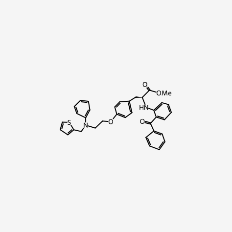 COC(=O)[C@H](Cc1ccc(OCCN(Cc2cccs2)c2ccccc2)cc1)Nc1ccccc1C(=O)c1ccccc1